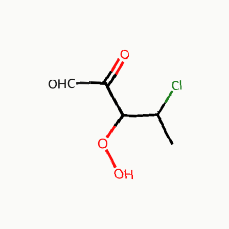 C[C](Cl)C(OO)C(=O)C=O